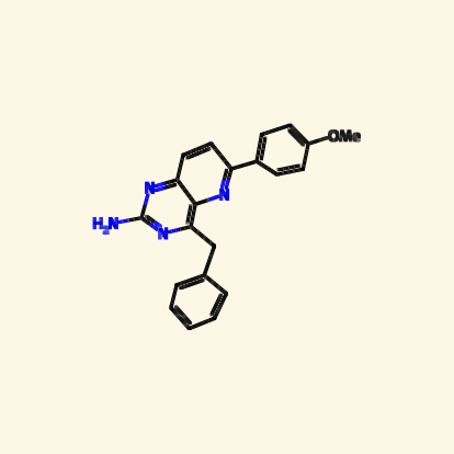 COc1ccc(-c2ccc3nc(N)nc(Cc4ccccc4)c3n2)cc1